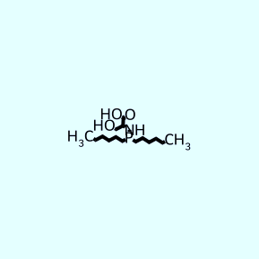 CCCCCCP(CCCCCC)NC(CO)C(=O)O